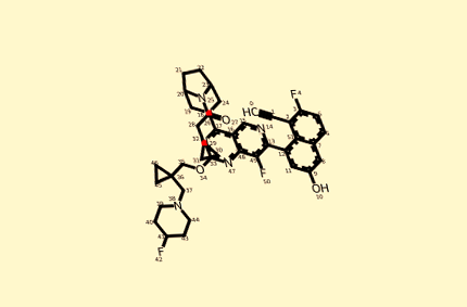 C#Cc1c(F)ccc2cc(O)cc(-c3ncc4c(N5CC6CCC(C5)N6C(=O)CC5CC5)nc(OCC5(CN6CCC(F)CC6)CC5)nc4c3F)c12